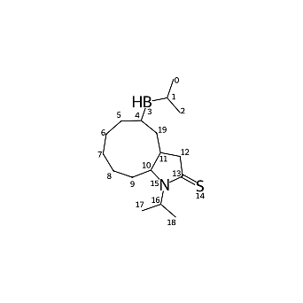 CC(C)BC1CCCCCC2C(CC(=S)N2C(C)C)C1